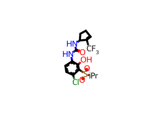 CC(C)S(=O)(=O)c1c(Cl)ccc(NC(=O)NC2CCC=C2C(F)(F)F)c1O